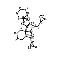 O=C(OCC1CO1)C1(C(=O)OC23CCCCC2O3)CCCCC1CC1CO1